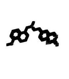 COc1cccc2c1CCCC2CN(C)CCc1ccc2[nH]c(=O)ncc2c1